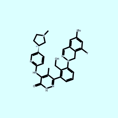 Cc1c(-c2cccc(N3Cc4c(F)cc(C(C)(C)C)cc4C=N3)c2CO)n[nH]c(=O)c1Nc1ccc([C@@H]2CCN(C)C2)cn1